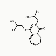 CCCCC(CC)COC(=O)C1=CC=CCCC1C(=O)OCC(CC)CCCC